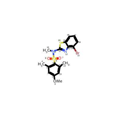 COc1cc(C)c(S(=O)(=O)N(C)c2nc3c(Br)cccc3s2)c(C)c1